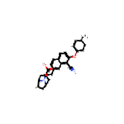 C[C@H]1CC[C@@H](Oc2ccc3ccc(CCN4C5CCC4CC(C(=O)O)C5)cc3c2C#N)CC1